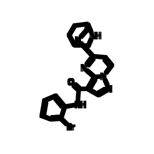 O=C(Nc1ccccc1Br)c1cnn2ccc(N3CC4CCC3CN4)nc12